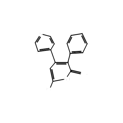 CC(C)(C)c1cc(-c2ccncc2)c(-c2ccccc2)c(=O)[nH]1